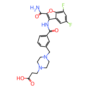 NC(=O)c1oc2c(F)cc(F)cc2c1NC(=O)c1cccc(CN2CCN(CCC(=O)O)CC2)c1